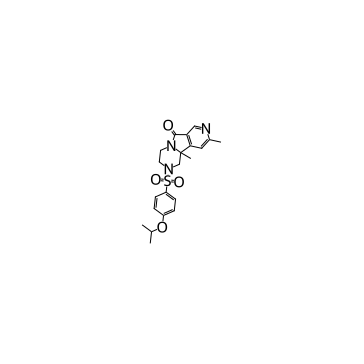 Cc1cc2c(cn1)C(=O)N1CCN(S(=O)(=O)c3ccc(OC(C)C)cc3)CC21C